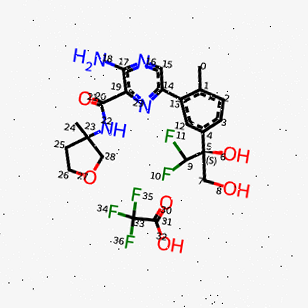 Cc1ccc([C@](O)(CO)C(F)F)cc1-c1cnc(N)c(C(=O)NC2(C)CCOC2)n1.O=C(O)C(F)(F)F